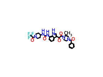 C[C@@H]1CN(C(=O)c2ccccc2)CCN1C(=O)C(=O)c1c[nH]c2c(NC(=O)NC3CCN(C(=O)C(F)(F)F)CC3)cccc12